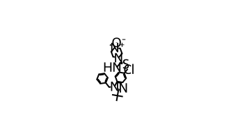 CC(C)(C)c1nc2cc(Cl)c(NC(=S)N3CC[N+](C)([O-])CC3)cc2n1Cc1ccccc1